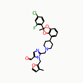 Cc1ccoc1Cn1c(C=O)cnc1CN1CCC(c2cccc3c2OC(C)(c2ccc(Cl)cc2F)O3)CC1